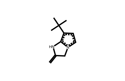 C=C1Cn2ccc(C(C)(C)C)c2N1